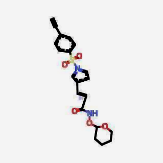 C#Cc1ccc(S(=O)(=O)n2ccc(/C=C/C(=O)NOC3CCCCO3)c2)cc1